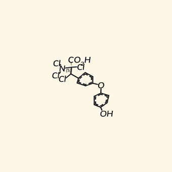 O=C(O)[C@](Cl)(C(Cl)c1ccc(Oc2ccc(O)cc2)cc1)N(Cl)Cl